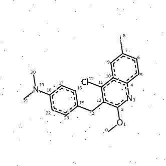 COc1nc2ccc(I)cc2c(Cl)c1Cc1ccc(N(C)C)cc1